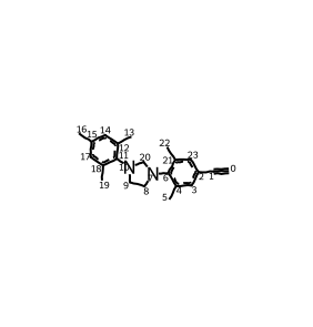 C#Cc1cc(C)c(N2CCN(c3c(C)cc(C)cc3C)C2)c(C)c1